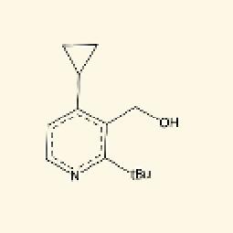 CC(C)(C)c1nccc(C2CC2)c1CO